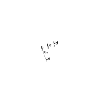 [B].[Ce].[Fe].[La].[Nd]